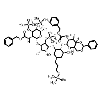 CC[C@@H]1O[C@H](O[C@H]2[C@@H](O[Si](C)(C)C(C)(C)C)[C@H](O[C@@H]3[C@@H](O)[C@H](CCCO[Si](C)(C)C(C)(C)C)C[C@H](C)[C@H]3O[C@H]3O[C@@H]4COC(c5ccccc5)O[C@H]4[C@H](C)[C@H]3NC(=O)OCc3ccccc3)O[C@@H]2CC)[C@H](NC(=O)OCc2ccccc2)[C@@H](O[Si](C)(C)C(C)(C)C)[C@@H]1O[Si](C)(C)C(C)(C)C